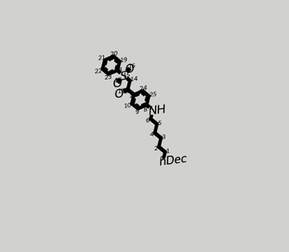 CCCCCCCCCCCCCCCCNc1ccc(C(=O)CS(=O)(=O)c2ccccc2)cc1